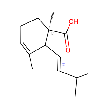 CC1=CCC[C@@](C)(C(=O)O)C1/C=C/C(C)C